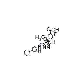 COc1cc(C(=O)O)c(F)cc1NS(=O)(=O)C(=N)/C=C\Nc1ccc(C2CCCCC2)cc1